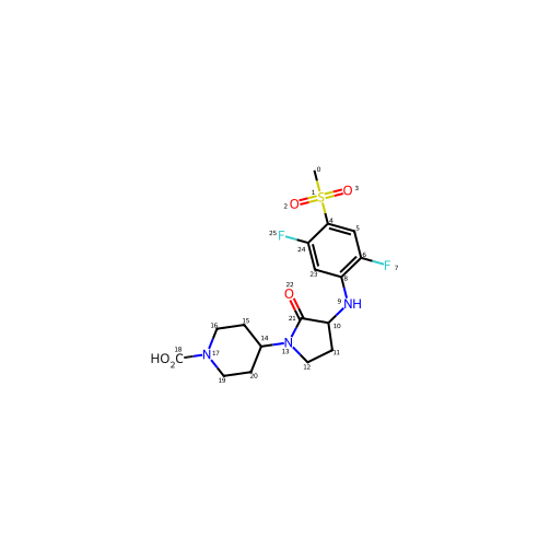 CS(=O)(=O)c1cc(F)c(NC2CCN(C3CCN(C(=O)O)CC3)C2=O)cc1F